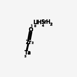 [LiH].[O]=[Zr][Ta].[SrH2]